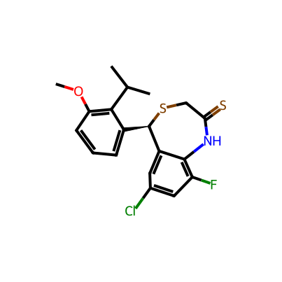 COc1cccc([C@H]2SCC(=S)Nc3c(F)cc(Cl)cc32)c1C(C)C